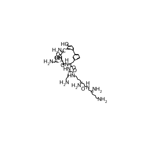 NCCC[C@H](N)CNC(=O)C[C@@H](N)CCCNC(=O)[C@H](CCCN)NC(=O)[C@@H]1Cc2cccc(c2)-c2ccc(O)c(c2)C[C@H](N)C(=O)N[C@@H](C[C@@H](O)CN)C(=O)N1